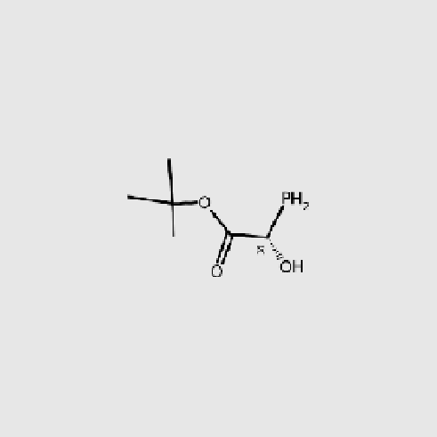 CC(C)(C)OC(=O)[C@@H](O)P